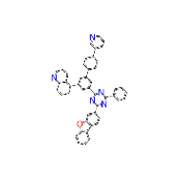 c1ccc(-c2nc(-c3cc(-c4ccc(-c5cccnc5)cc4)cc(-c4cccc5ncccc45)c3)nc(-c3ccc4c(c3)oc3ccccc34)n2)cc1